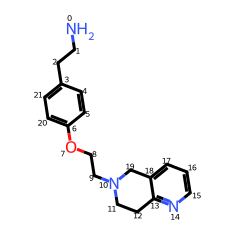 NCCc1ccc(OCCN2CCc3ncccc3C2)cc1